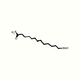 CCCCCCCCCCCCCCCCCCCCCC(N)=O